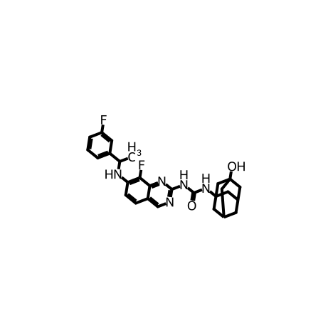 CC(Nc1ccc2cnc(NC(=O)NC34CC5CC(CC(O)(C5)C3)C4)nc2c1F)c1cccc(F)c1